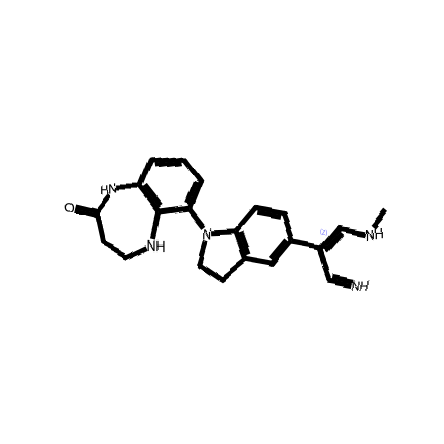 CN/C=C(\C=N)c1ccc2c(c1)CCN2c1cccc2c1NCCC(=O)N2